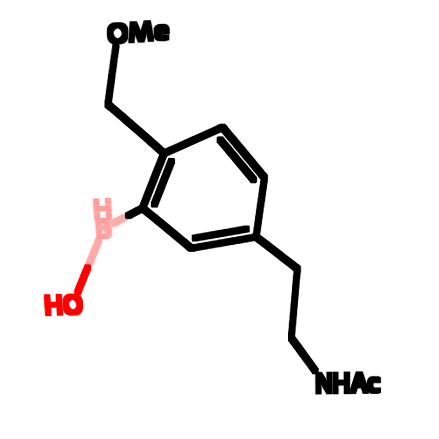 COCc1ccc(CCNC(C)=O)cc1BO